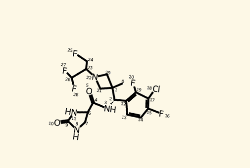 CC1([C@@H](NC(=O)C2CNC(=O)N2)c2ccc(F)c(Cl)c2F)CN(C(CF)C(F)F)C1